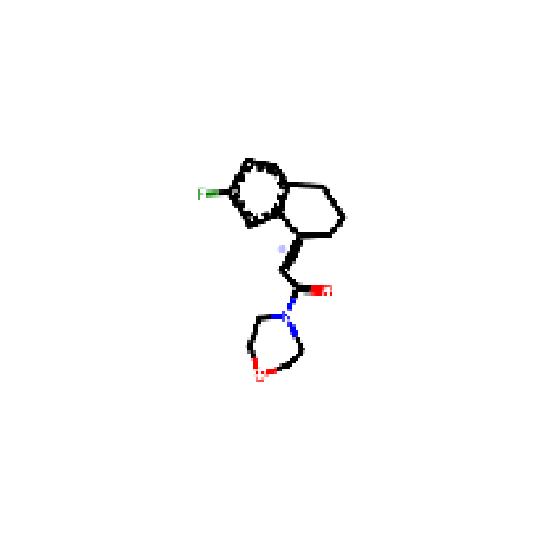 O=C(/C=C1\CCCc2ccc(F)cc21)N1CCOCC1